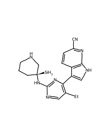 CCc1cnc(N[C@]2([SiH3])CCCNC2)nc1-c1c[nH]c2nc(C#N)ccc12